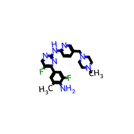 Cc1cc(-c2nc(Nc3ccc(CN4CCN(C)CC4)cn3)ncc2F)cc(F)c1N